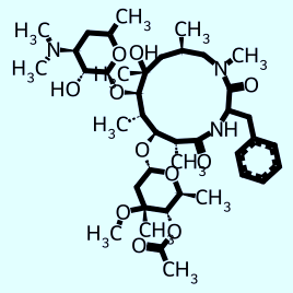 CO[C@]1(C)C[C@H](O[C@H]2[C@H](C)[C@@H](O[C@@H]3OC(C)C[C@H](N(C)C)[C@H]3O)[C@](C)(O)C[C@@H](C)CN(C)C(=O)C(Cc3ccccc3)NC(=O)[C@@H]2C)O[C@@H](C)[C@@H]1OC(C)=O